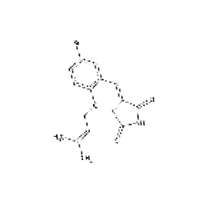 CC(C)=CCOc1ccc(Br)cc1C=C1SC(=S)NC1=O